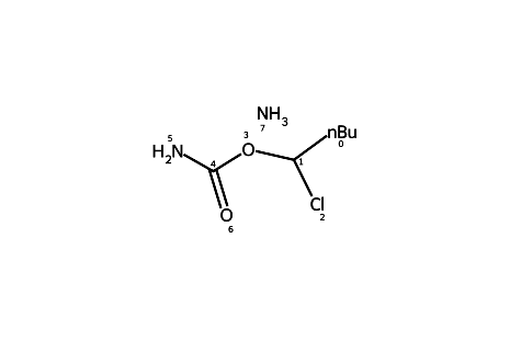 CCCCC(Cl)OC(N)=O.N